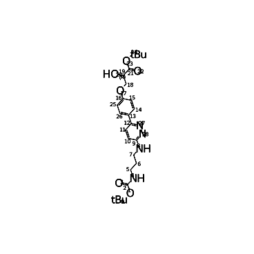 CC(C)(C)OC(=O)NCCCNc1ccc(-c2ccc(OC[C@@H](O)C(=O)OC(C)(C)C)cc2)nn1